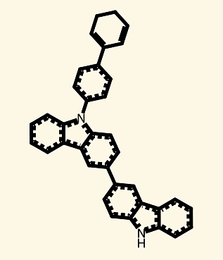 C1=CC(c2ccc(-n3c4ccccc4c4cc(-c5ccc6[nH]c7ccccc7c6c5)ccc43)cc2)=CCC1